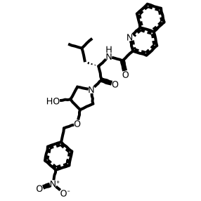 CC(C)C[C@H](NC(=O)c1ccc2ccccc2n1)C(=O)N1CC(O)C(OCc2ccc([N+](=O)[O-])cc2)C1